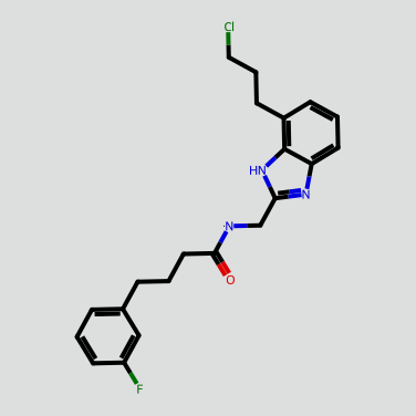 O=C(CCCc1cccc(F)c1)[N]Cc1nc2cccc(CCCCl)c2[nH]1